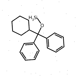 [SiH3]OC(c1ccccc1)(c1ccccc1)C1CCCCC1